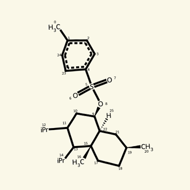 Cc1ccc(S(=O)(=O)O[C@@H]2CC(C(C)C)C(C(C)C)[C@@]3(C)CC[C@H](C)C[C@H]23)cc1